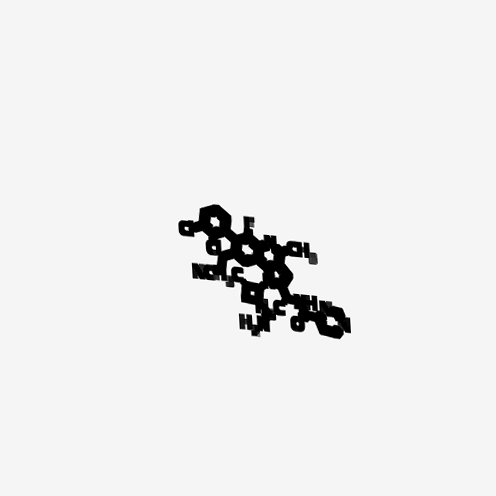 Cc1nc2c(F)c(-c3cccc(Cl)c3Cl)c(CCC#N)cc2c2c1cc([C@@H](C)NC(=O)c1ccncn1)n2[C@H]1[C@@H](CN)C[C@@H]1C